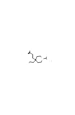 C=C(C)CCC1(CCC)CCN(C(C)C)CC1